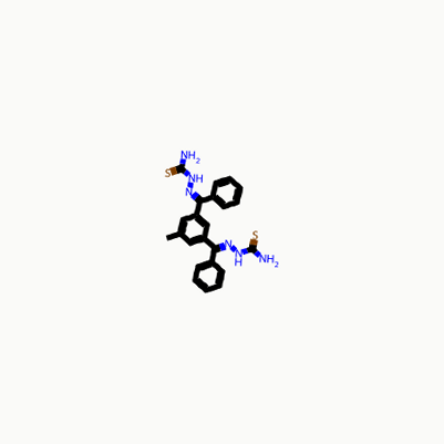 Cc1cc(C(=NNC(N)=S)c2ccccc2)cc(C(=NNC(N)=S)c2ccccc2)c1